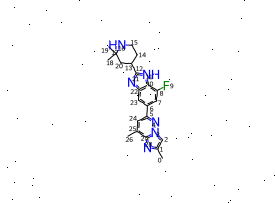 Cc1cn2nc(-c3cc(F)c4[nH]c(C5CCNC(C)(C)C5)nc4c3)cc(C)c2n1